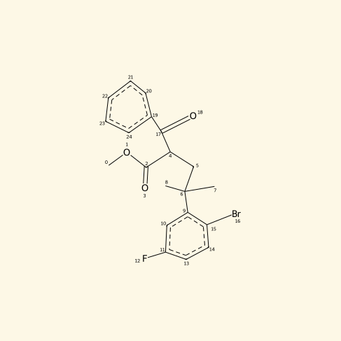 COC(=O)C(CC(C)(C)c1cc(F)ccc1Br)C(=O)c1ccccc1